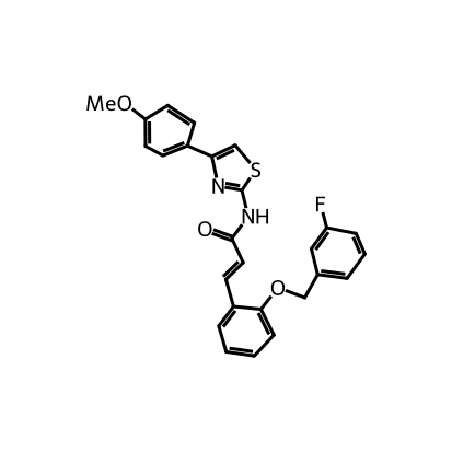 COc1ccc(-c2csc(NC(=O)/C=C/c3ccccc3OCc3cccc(F)c3)n2)cc1